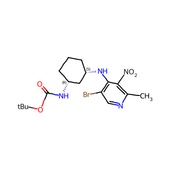 Cc1ncc(Br)c(N[C@H]2CCC[C@@H](NC(=O)OC(C)(C)C)C2)c1[N+](=O)[O-]